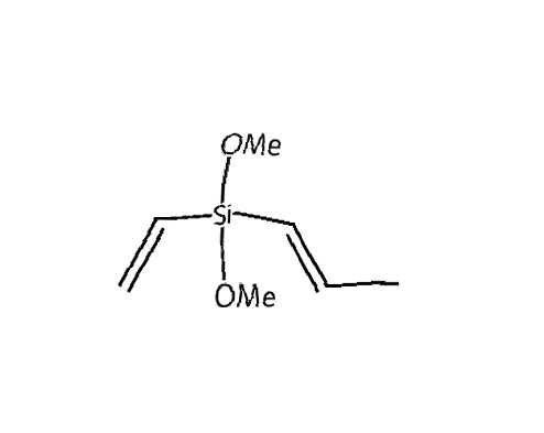 C=C[Si](C=CC)(OC)OC